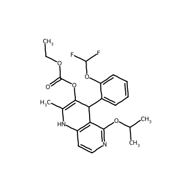 CCOC(=O)OC1=C(C)Nc2ccnc(OC(C)C)c2C1c1ccccc1OC(F)F